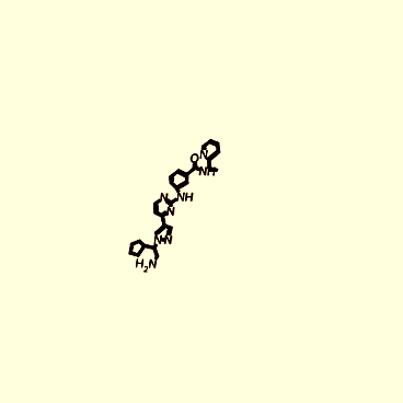 CC(NC(=O)c1cccc(Nc2nccc(-c3cnn(C(CN)C4CCCC4)c3)n2)c1)c1ccccn1